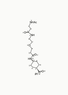 CC(=O)NCCC(=O)NCCOCCC(=O)N[C@H]1CC[C@@H](C(=O)C(C)C)CC1